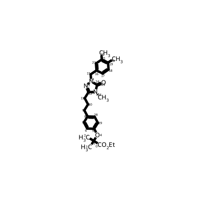 CCOC(=O)C(C)(C)Oc1ccc(CCCc2nn(Cc3ccc(C)c(C)c3)c(=O)n2C)cc1